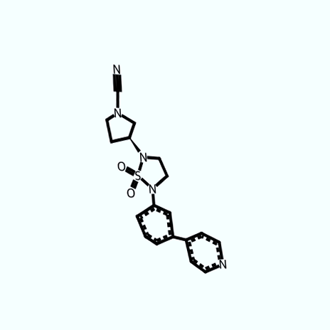 N#CN1CC[C@H](N2CCN(c3cccc(-c4ccncc4)c3)S2(=O)=O)C1